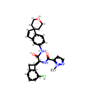 CCn1nccc1C(=O)NC(C(=O)Nc1ccc2c(c1)C=CC21CCOCC1)=C1Cc2cccc(Cl)c21